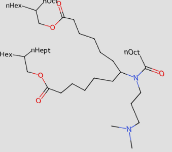 CCCCCCCCC(=O)N(CCCN(C)C)C(CCCCCC(=O)OCC(CCCCCC)CCCCCCC)CCCCCC(=O)OCC(CCCCCC)CCCCCCCC